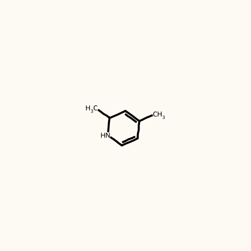 C[C]1C=C(C)C=CN1